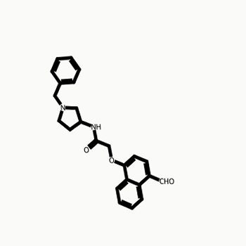 O=Cc1ccc(OCC(=O)NC2CCN(Cc3ccccc3)C2)c2ccccc12